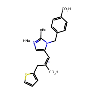 CCCCc1ncc(/C=C(\Cc2cccs2)C(=O)O)n1Cc1ccc(C(=O)O)cc1.[NaH]